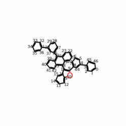 c1ccc(-c2cccc(-c3oc4ccccc4c3-c3c4ccccc4c(-c4cccc(-c5ccccc5)c4)c4ccccc34)c2)cc1